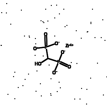 O=P([O-])([O-])C(O)P(=O)([O-])[O-].[Zr+4]